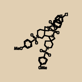 COc1ccc(S(=O)(=O)N2CCC3(CC2)CN(S(=O)(=O)c2ccc(Cl)cc2)C3C2CN(S(=O)(=O)c3ccc(OC)cc3)CCC23CN(S(=O)(=O)c2ccc(Cl)cc2)C3)cc1